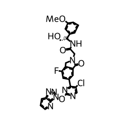 COc1cccc([C@@H](CO)NC(=O)CN2Cc3c(F)cc(-c4nc(On5nnc6cccnc65)ncc4Cl)cc3C2=O)c1